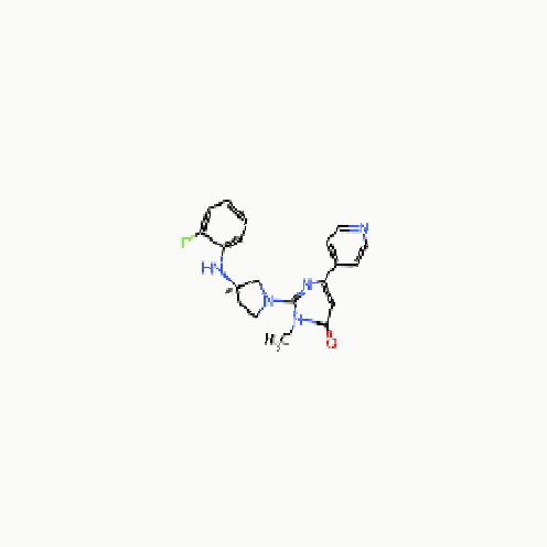 Cn1c(N2CC[C@@H](Nc3ccccc3F)C2)nc(-c2ccncc2)cc1=O